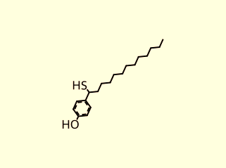 CCCCCCCCCCCCC(S)c1ccc(O)cc1